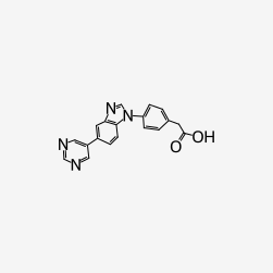 O=C(O)Cc1ccc(-n2cnc3cc(-c4cncnc4)ccc32)cc1